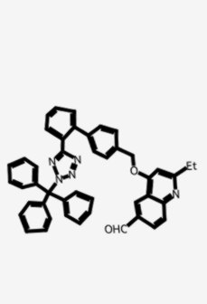 CCc1cc(OCc2ccc(-c3ccccc3-c3nnn(C(c4ccccc4)(c4ccccc4)c4ccccc4)n3)cc2)c2cc(C=O)ccc2n1